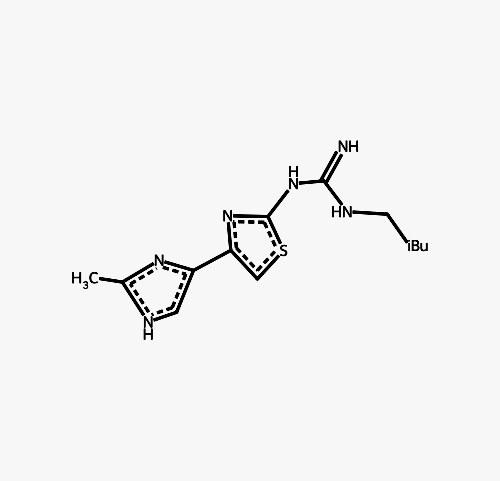 CCC(C)CNC(=N)Nc1nc(-c2c[nH]c(C)n2)cs1